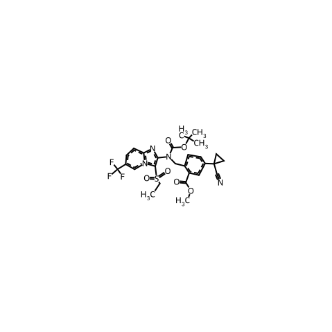 CCS(=O)(=O)c1c(N(Cc2ccc(C3(C#N)CC3)cc2C(=O)OC)C(=O)OC(C)(C)C)nc2ccc(C(F)(F)F)cn12